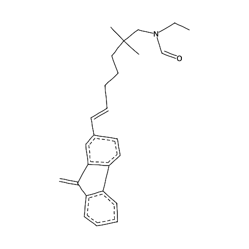 C=C1c2ccccc2-c2ccc(/C=C/CCCC(C)(C)CN(C=O)CC)cc21